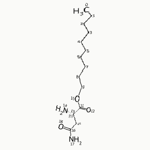 CCCCCCCCCCOC(=O)[C@@H](N)CC(N)=O